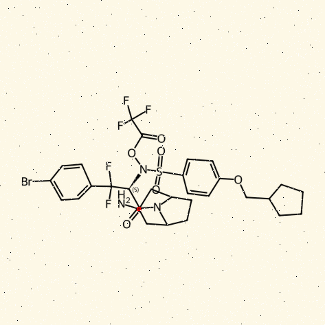 NC1CC2CCC(C1)N2C(=O)[C@H](N(OC(=O)C(F)(F)F)S(=O)(=O)c1ccc(OCC2CCCC2)cc1)C(F)(F)c1ccc(Br)cc1